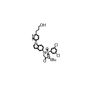 CC(C)(C)OC(=O)CN(c1ccc2c(ccn2-c2ccc(CCCO)nn2)c1)S(=O)(=O)c1cc(Cl)cc(Cl)c1